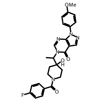 COc1ccc(-n2ncc3c(=O)n(C(C)C4(O)CCN(C(=O)c5ccc(F)cc5)CC4)cnc32)cc1